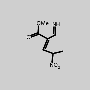 COC(=O)/C(C=N)=C/C(C)[N+](=O)[O-]